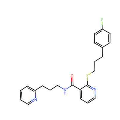 O=C(NCCCc1ccccn1)c1cccnc1SCCCc1ccc(F)cc1